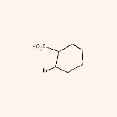 O=C(O)C1CCCCC1Br